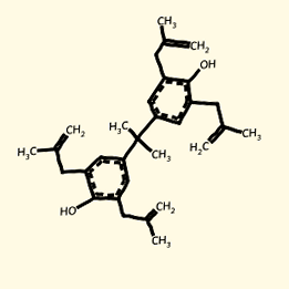 C=C(C)Cc1cc(C(C)(C)c2cc(CC(=C)C)c(O)c(CC(=C)C)c2)cc(CC(=C)C)c1O